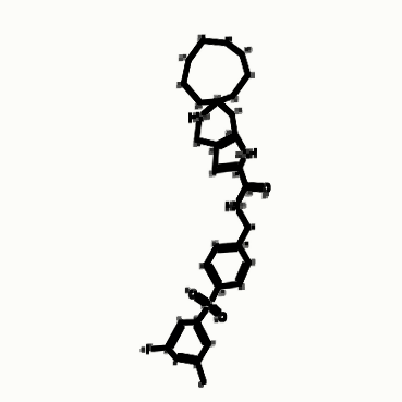 Cc1cc(F)cc(S(=O)(=O)c2ccc(CNC(=O)c3cc4c([nH]3)CC3(CCCCCCCC3)NC4)cc2)c1